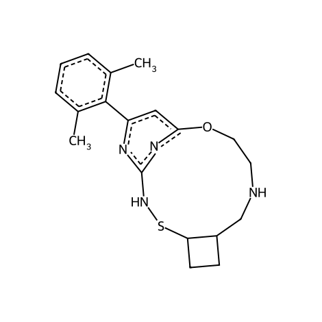 Cc1cccc(C)c1-c1cc2nc(n1)NSC1CCC1CNCCO2